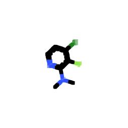 CN(C)c1nccc(Cl)c1F